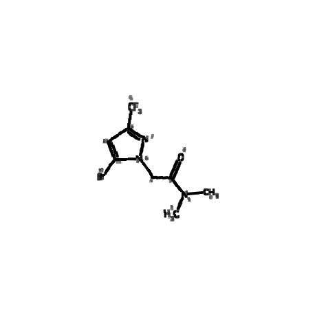 CN(C)C(=O)Cn1nc(C(F)(F)F)cc1Br